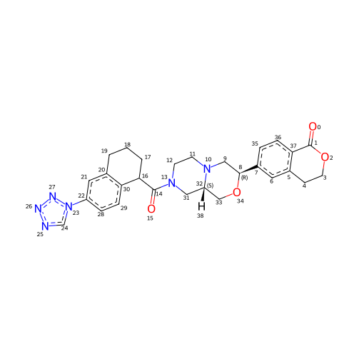 O=C1OCCc2cc([C@@H]3CN4CCN(C(=O)C5CCCc6cc(-n7cnnn7)ccc65)C[C@H]4CO3)ccc21